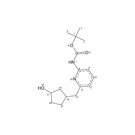 CC(C)(C)OC(=O)Nc1cccc(CC2CCC(O)C2)n1